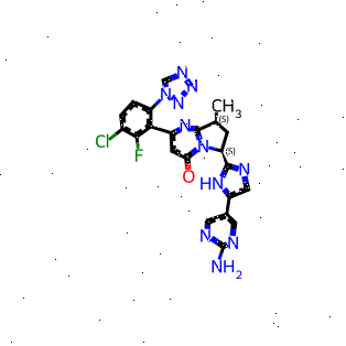 C[C@H]1C[C@@H](c2ncc(-c3cnc(N)nc3)[nH]2)n2c1nc(-c1c(-n3cnnn3)ccc(Cl)c1F)cc2=O